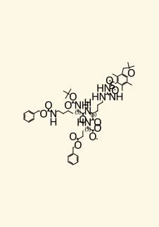 COC(=O)[C@H](CCC(=O)OCc1ccccc1)NC(=O)[C@H](CCCNC(=N)NS(=O)(=O)c1c(C)c(C)c2c(c1C)CC(C)(C)O2)NC(=O)[C@H](CCCCNC(=O)OCc1ccccc1)NC(=O)OC(C)(C)C